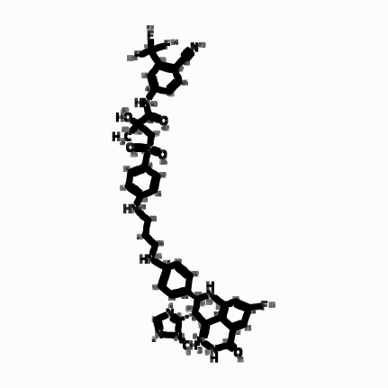 Cn1ncnc1[C@H]1c2n[nH]c(=O)c3cc(F)cc(c23)N[C@@H]1c1ccc(NCCCNc2ccc(S(=O)(=O)CC(C)(O)C(=O)Nc3ccc(C#N)c(C(F)(F)F)c3)cc2)cc1